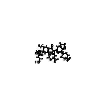 Cc1cc(C(=O)Nc2cn3ccnc3c(N3CCC(F)(F)CC3)n2)c(N2CCC3(CC2)CC3)cc1NS(=O)(=O)CCO